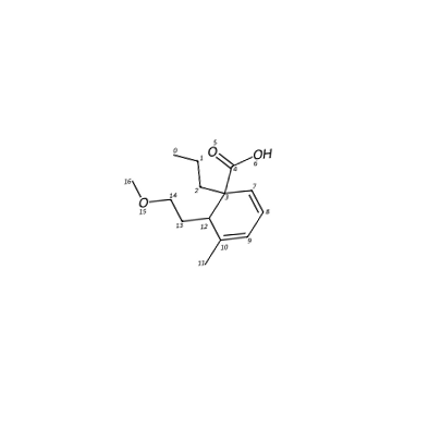 CCCC1(C(=O)O)C=CC=C(C)C1CCOC